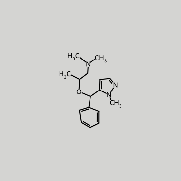 CC(CN(C)C)OC(c1ccccc1)c1ccnn1C